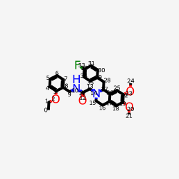 CCOc1ccccc1CNC(=O)CN1CCc2cc(OC)c(OC)cc2C1Cc1ccc(F)cc1